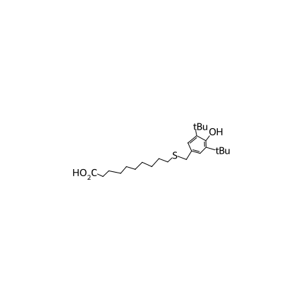 CC(C)(C)c1cc(CSCCCCCCCCCC(=O)O)cc(C(C)(C)C)c1O